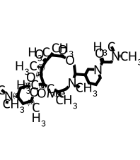 CO[C@]1(C)C[C@@H](C)CN(C)C(C2CCCN(C(=O)CN(C)C)C2)COC(=O)C(C)(C)C(=O)[C@H](C)[C@H]1O[C@H]1C[C@@H](N(C)C)C[C@@H](C)O1